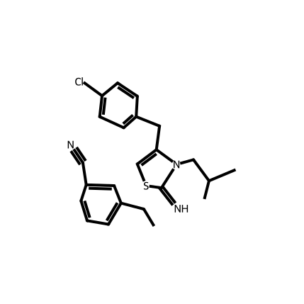 CC(C)Cn1c(Cc2ccc(Cl)cc2)csc1=N.CCc1cccc(C#N)c1